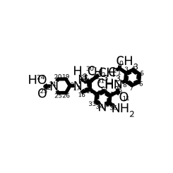 CC(C)c1ccccc1NC(=O)c1cc(-c2cn(C3CCN(C(=O)O)CC3)nc2C(C)(C)C)cnc1N